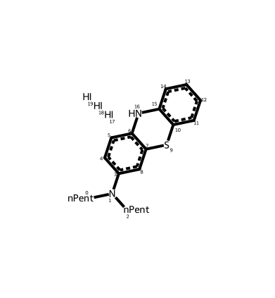 CCCCCN(CCCCC)c1ccc2c(c1)Sc1ccccc1N2.I.I.I